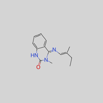 CC/C(C)=C/N=c1/c2ccccc2[nH]c(=O)n1C